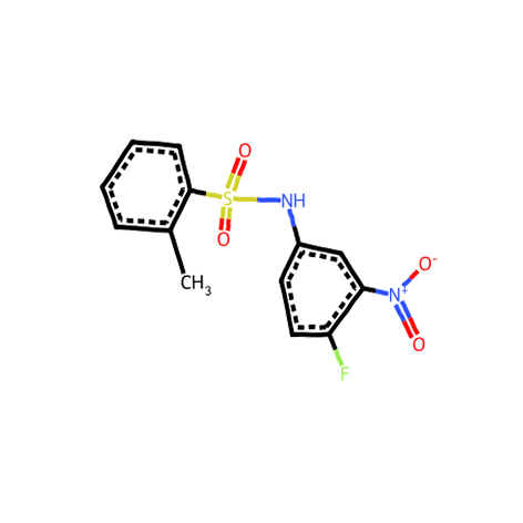 Cc1ccccc1S(=O)(=O)Nc1ccc(F)c([N+](=O)[O-])c1